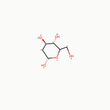 OCC1O[C@H](O)C[C@@H](O)[C@@H]1O